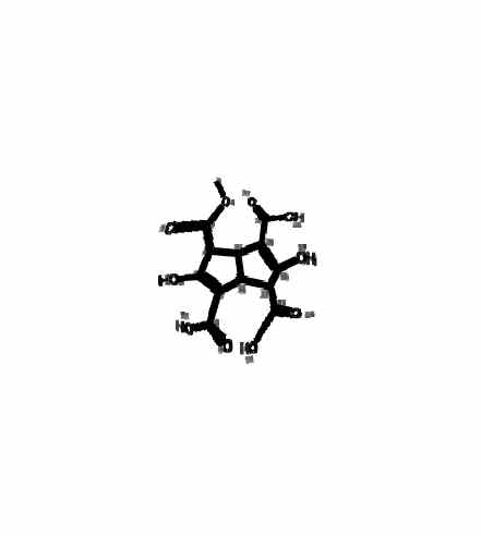 COC(=O)C1C(O)=C(C(=O)O)C2C(C(=O)O)C(O)=C(C(=O)O)C12